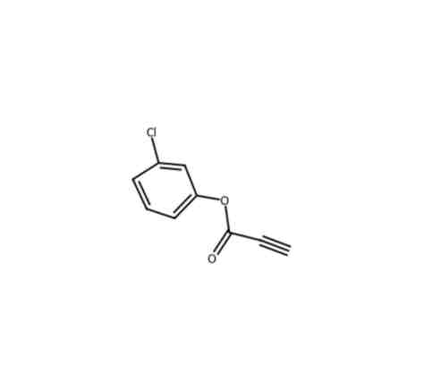 C#CC(=O)Oc1cccc(Cl)c1